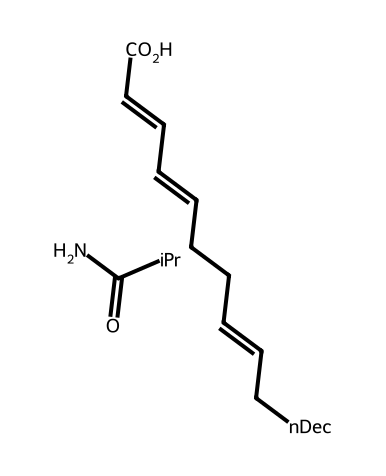 CC(C)C(N)=O.CCCCCCCCCCCC=CCCC=CC=CC(=O)O